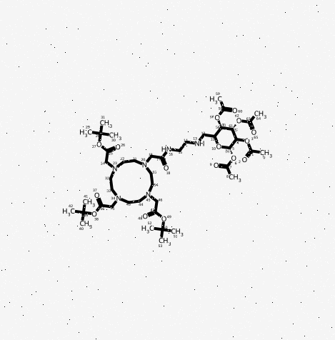 CC(=O)OC1[C@H](OC(C)=O)OC(CNCCNC(=O)CN2CCN(CC(=O)OC(C)(C)C)CCN(CC(=O)OC(C)(C)C)CCN(CC(=O)OC(C)(C)C)CC2)[C@@H](OC(C)=O)[C@@H]1OC(C)=O